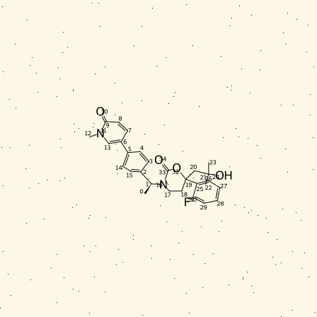 C[C@@H](c1ccc(-c2ccc(=O)n(C)c2)cc1)N1CCC(CC(C)(C)O)(c2ccccc2F)OC1=O